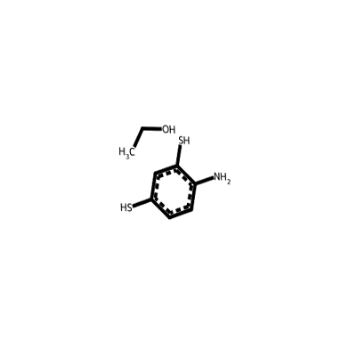 CCO.Nc1ccc(S)cc1S